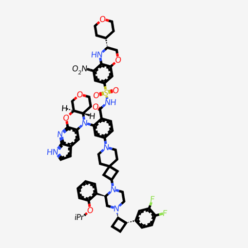 CC(C)Oc1ccccc1[C@@H]1CN([C@H]2CC[C@H]2c2ccc(F)c(F)c2)CCN1C1CC2(CCN(c3ccc(C(=O)NS(=O)(=O)c4cc5c(c([N+](=O)[O-])c4)N[C@H](C4CCOCC4)CO5)c(N4c5cc6cc[nH]c6nc5O[C@H]5COCC[C@@H]54)c3)CC2)C1